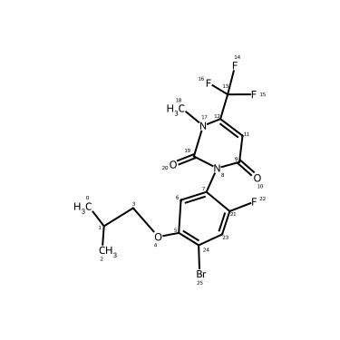 CC(C)COc1cc(-n2c(=O)cc(C(F)(F)F)n(C)c2=O)c(F)cc1Br